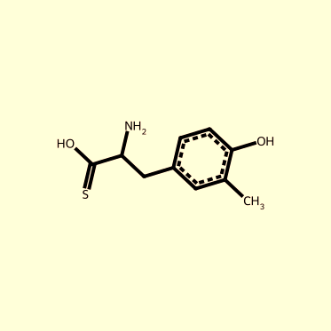 Cc1cc(CC(N)C(O)=S)ccc1O